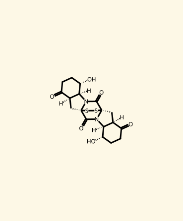 O=C1CC[C@H](O)[C@@H]2[C@H]1C[C@]13SS[C@@]4(C[C@H]5C(=O)CC[C@H](O)[C@H]5N4C1=O)C(=O)N23